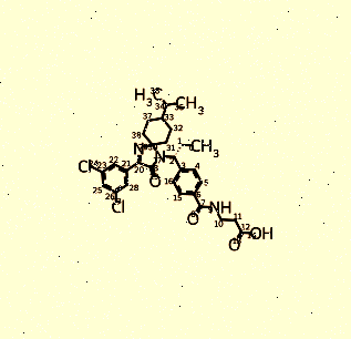 CC[C@H](c1ccc(C(=O)NCCC(=O)O)cc1)N1C(=O)C(c2cc(Cl)cc(Cl)c2)=NC12CCC(C(C)C)CC2